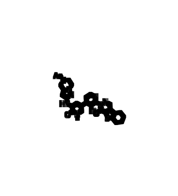 CCc1c(-c2cc(Nc3cc4n(n3)CCN(C(C)=O)C4)c(=O)n(C)c2)ccnc1-n1ncc2c3c(sc2c1=O)CCCC3